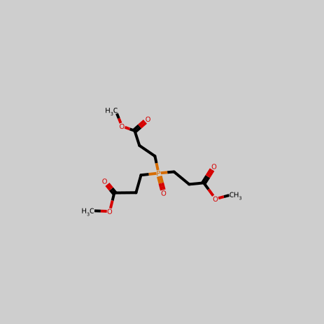 COC(=O)CCP(=O)(CCC(=O)OC)CCC(=O)OC